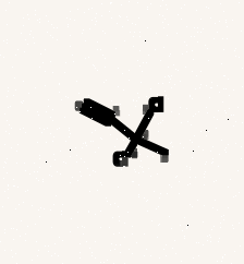 C#CC(C)(Cl)Cl